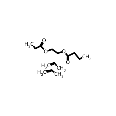 C=CC.C=CC.CCCC(=O)OCCOC(=O)CC